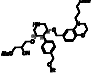 CCOCc1ccc([C@@H]2[C@@H](OCc3ccc4c(c3)N(CCCOC)CCO4)CNC[C@H]2OCC(O)COC)cc1